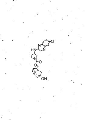 O=C(O[C@H]1C2CC3CC1C[C@](O)(C3)C2)N1CC[C@@H](Nc2cnc3cc(Cl)ccc3n2)C1